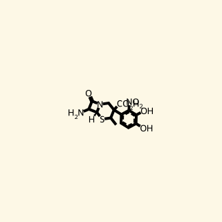 CC1S[C@@H]2C(N)C(=O)N2CC1(C(=O)O)c1ccc(O)c(O)c1[N+](=O)[O-]